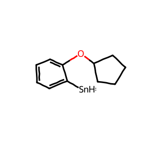 [SnH][c]1ccccc1OC1CCCC1